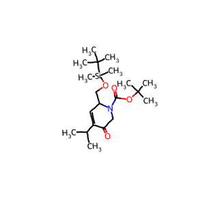 CC(C)C1=CC(CO[Si](C)(C)C(C)(C)C)N(C(=O)OC(C)(C)C)CC1=O